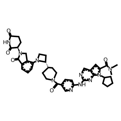 CN(C)C(=O)c1cc2cnc(Nc3ccc(C(=O)N4CCC([C@H]5CCN5c5cccc6c5CN([C@@H]5CCC(=O)NC5=O)C6=O)CC4)cn3)nc2n1C1CCCC1